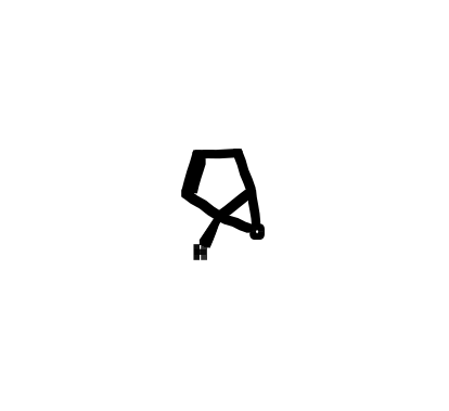 C1=C[C@H]2OC2C1